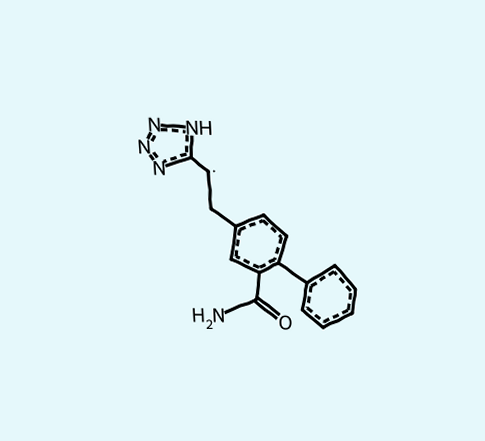 NC(=O)c1cc(C[CH]c2nnn[nH]2)ccc1-c1ccccc1